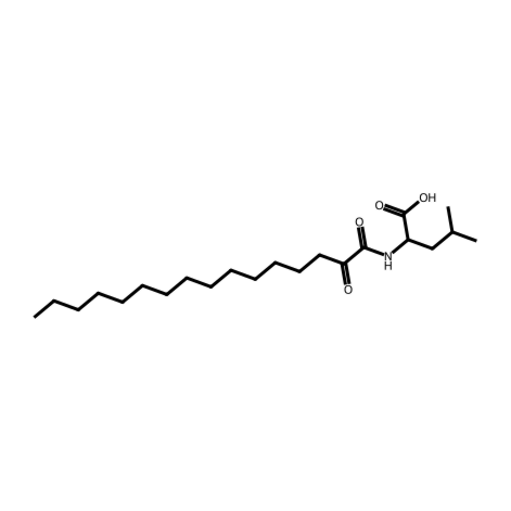 CCCCCCCCCCCCCCC(=O)C(=O)NC(CC(C)C)C(=O)O